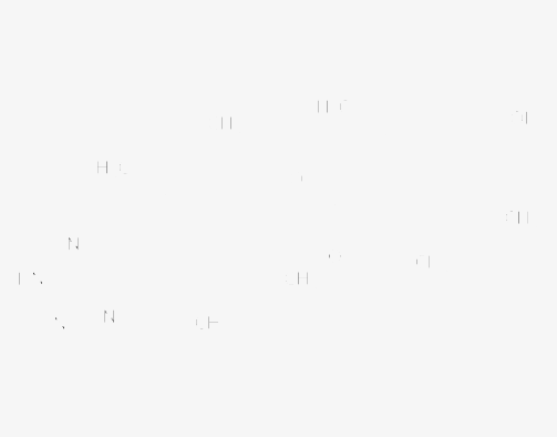 Cc1cc(O)c(C)c(C)c1C(=O)Oc1c(C)c(C)c(-c2nn[nH]n2)c(C)c1C